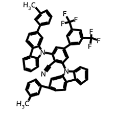 Cc1cccc(-c2ccc3c4ccccc4n(-c4cc(-c5cc(C(F)(F)F)cc(C(F)(F)F)c5)cc(-n5c6ccccc6c6ccc(-c7cccc(C)c7)cc65)c4C#N)c3c2)c1